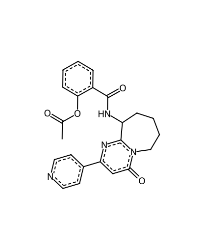 CC(=O)Oc1ccccc1C(=O)NC1CCCCn2c1nc(-c1ccncc1)cc2=O